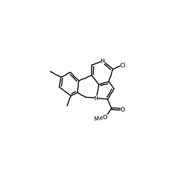 COC(=O)c1cc2c(Cl)ncc3c2n1Cc1c(C)cc(C)cc1-3